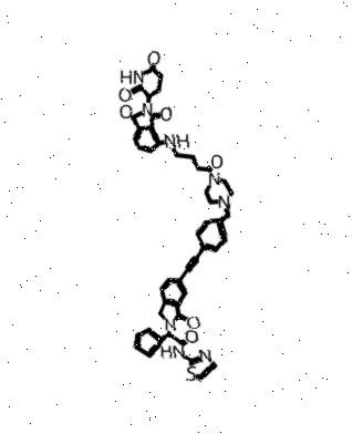 O=C1CCC(N2C(=O)c3cccc(NCCCC(=O)N4CCN(Cc5ccc(C#Cc6ccc7c(c6)C(=O)N(C(C(=O)Nc6nccs6)c6ccccc6)C7)cc5)CC4)c3C2=O)C(=O)N1